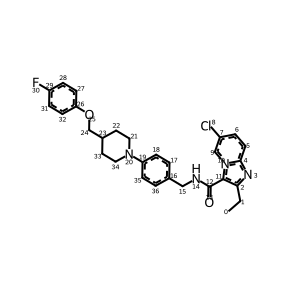 CCc1nc2ccc(Cl)cn2c1C(=O)NCc1ccc(N2CCC(COc3ccc(F)cc3)CC2)cc1